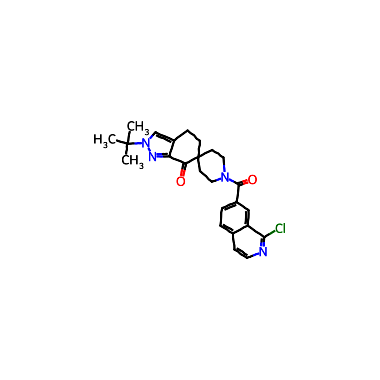 CC(C)(C)n1cc2c(n1)C(=O)C1(CC2)CCN(C(=O)c2ccc3ccnc(Cl)c3c2)CC1